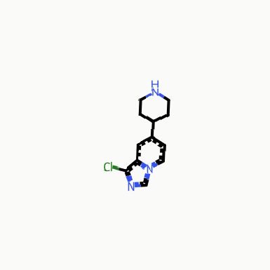 Clc1ncn2ccc(C3CCNCC3)cc12